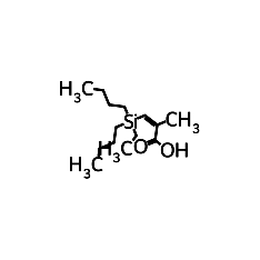 CCCC[Si](C=C(C)C(=O)O)(CC)CCCC